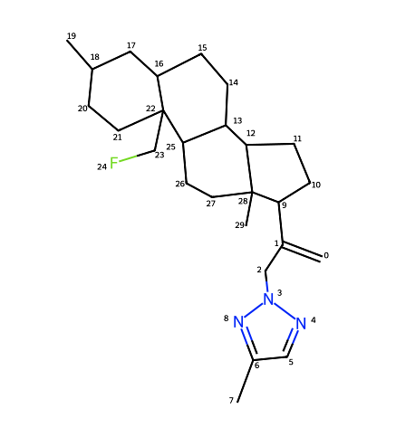 C=C(Cn1ncc(C)n1)C1CCC2C3CCC4CC(C)CCC4(CF)C3CCC12C